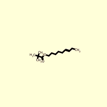 CC/C=C/CCCCCOC(=O)C(C)(C)C